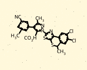 Cc1cc(C#N)cc(-c2c(C)nn(-c3nc4c(s3)SC(C)c3cc(Cl)c(Cl)cc3-4)c2C(=O)O)c1